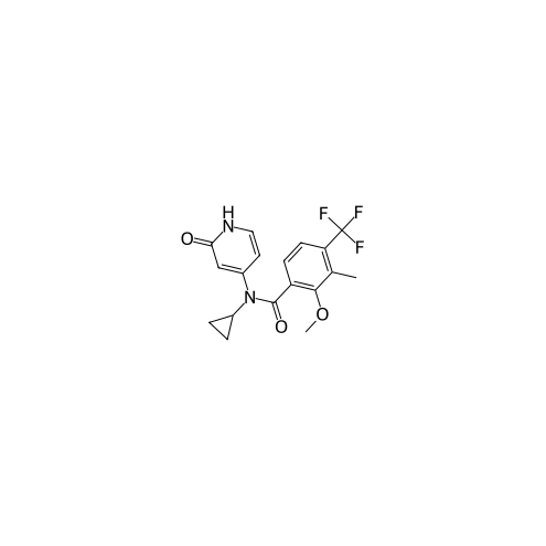 COc1c(C(=O)N(c2cc[nH]c(=O)c2)C2CC2)ccc(C(F)(F)F)c1C